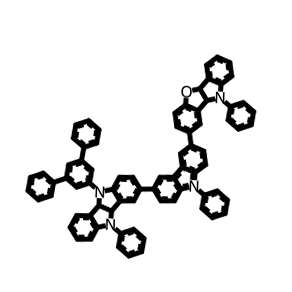 c1ccc(-c2cc(-c3ccccc3)cc(N3c4ccc(-c5ccc6c(c5)c5cc(-c7ccc8c(c7)C7C(O8)c8ccccc8N7c7ccccc7)ccc5n6-c5ccccc5)cc4C4C3c3ccccc3N4c3ccccc3)c2)cc1